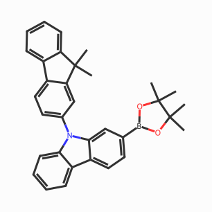 CC1(C)c2ccccc2-c2ccc(-n3c4ccccc4c4ccc(B5OC(C)(C)C(C)(C)O5)cc43)cc21